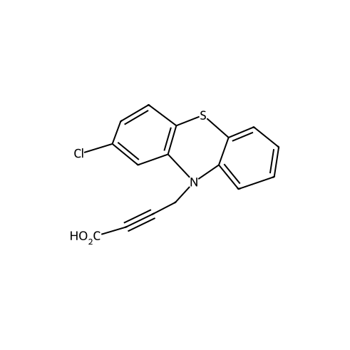 O=C(O)C#CCN1c2ccccc2Sc2ccc(Cl)cc21